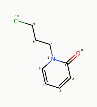 O=c1ccccn1CCCCl